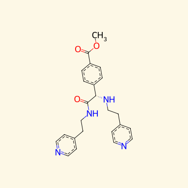 COC(=O)c1ccc([C@H](NCCc2ccncc2)C(=O)NCCc2ccncc2)cc1